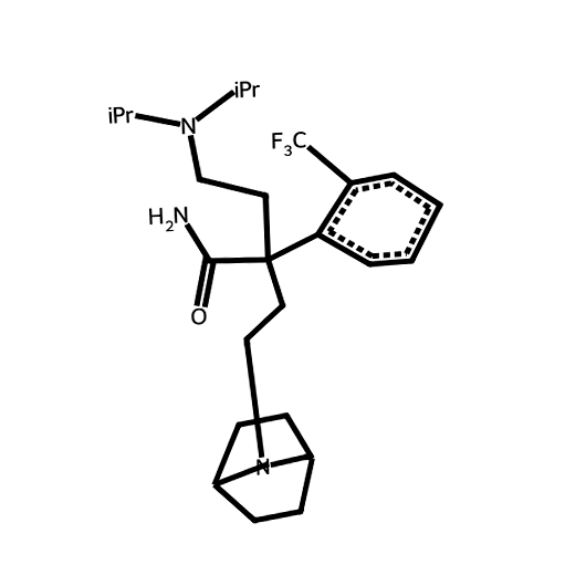 CC(C)N(CCC(CCN1CC2CCC(CC2)C1)(C(N)=O)c1ccccc1C(F)(F)F)C(C)C